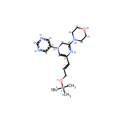 CC(C)(C)[Si](C)(C)OC/C=C/C1=CN(c2cncnc2)CC(N2CCOCC2)=N1